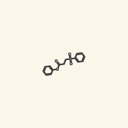 O=C(CCS(=O)(=O)c1ccccc1)Oc1ccccc1